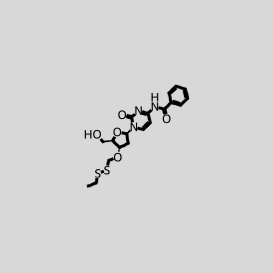 CCSSCO[C@H]1C[C@H](n2ccc(NC(=O)c3ccccc3)nc2=O)O[C@@H]1CO